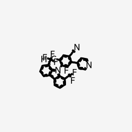 Cc1cc(C#N)c(-c2ccncc2)cc1-n1c2c(C(F)(F)F)cccc2c2cccc(C(F)(F)F)c21